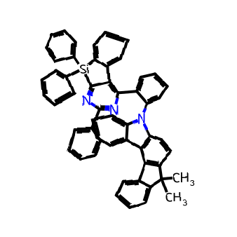 CC1(C)c2ccccc2-c2c1ccc1c2c2ccccc2n1-c1ccccc1-c1nc(-c2ccccc2)nc2c1-c1ccccc1[Si]2(c1ccccc1)c1ccccc1